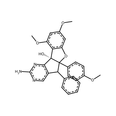 COc1ccc(C23Oc4cc(OC)cc(OC)c4[C@]2(O)c2nc(N)ncc2C3c2ccccc2)cc1